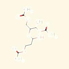 CC(=O)OCCC(O)OC(COC(C)=O)[C@H](C)OC(C)=O